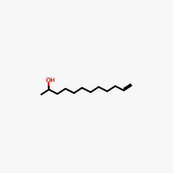 C=CCCCCCCCCC(C)O